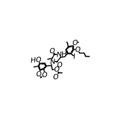 CCCCOc1c(I)c(CC2NC(=O)C(C)N(C(COC(C)=O)c3cc(O)c(C)c4c3OCO4)C2=O)cc(C)c1OC